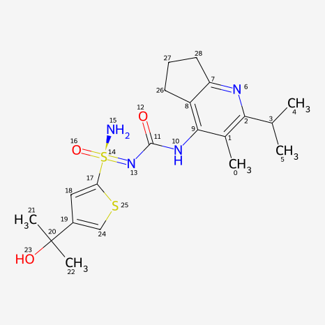 Cc1c(C(C)C)nc2c(c1NC(=O)N=[S@@](N)(=O)c1cc(C(C)(C)O)cs1)CCC2